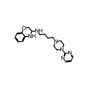 c1cnc(N2CCN(CCCCNC3COc4ccccc4N3)CC2)nc1